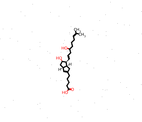 CC(C)=CCCCC(O)C/C=C/[C@H]1[C@H]2CC(CCCCC(=O)O)=C[C@H]2C[C@H]1O